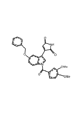 COc1ccc(C(=O)n2cc(C3=CC(=O)NC3=O)c3cc(OCc4ccccc4)ccc32)cc1OC